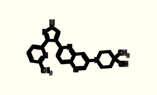 Cc1cccc(-c2n[nH]cc2-c2ccc3ncc(N4CCC(C)(O)CC4)cc3n2)n1